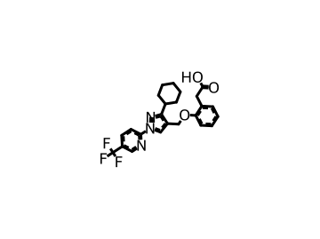 O=C(O)Cc1ccccc1OCc1cn(-c2ccc(C(F)(F)F)cn2)nc1C1CCCCC1